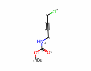 CCCCOC(=O)NCC#CCCl